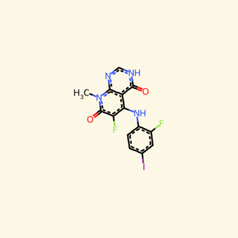 Cn1c(=O)c(F)c(Nc2ccc(I)cc2F)c2c(=O)[nH]cnc21